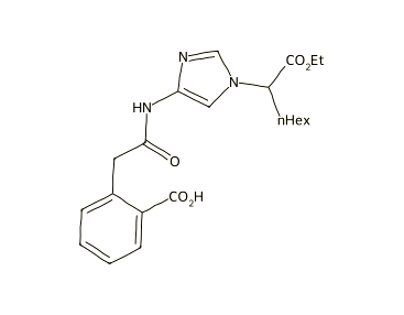 CCCCCCC(C(=O)OCC)n1cnc(NC(=O)Cc2ccccc2C(=O)O)c1